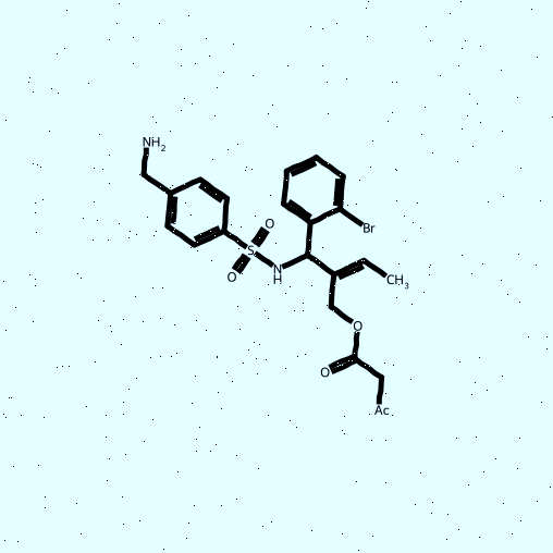 CC=C(COC(=O)CC(C)=O)C(NS(=O)(=O)c1ccc(CN)cc1)c1ccccc1Br